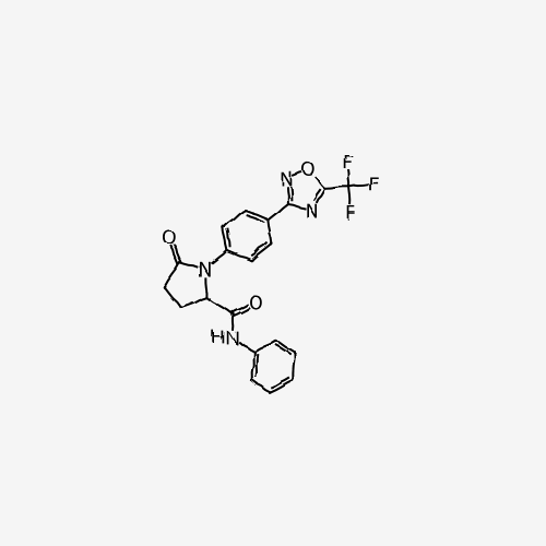 O=C(Nc1ccccc1)C1CCC(=O)N1c1ccc(-c2noc(C(F)(F)F)n2)cc1